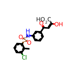 Cc1c(Cl)cccc1S(=O)(=O)Nc1cccc(C(=O)/C=C(/O)C(=O)O)c1